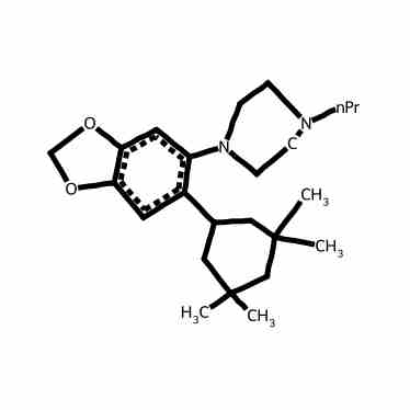 CCCN1CCN(c2cc3c(cc2C2CC(C)(C)CC(C)(C)C2)OCO3)CC1